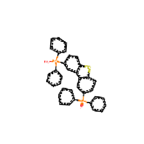 O=P(c1ccccc1)(c1ccccc1)c1ccc2sc3ccc([PH](O)(c4ccccc4)c4ccccc4)cc3c2c1